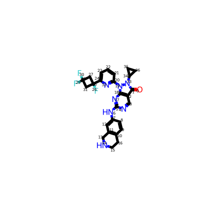 O=c1c2cnc(Nc3ccc4c(c3)CNCC4)nc2n(-c2cccc(C3(F)CC(F)(F)C3)n2)n1C1CC1